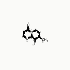 Cc1ccn2c(=O)ccnc2c1I